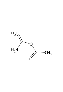 C=C(N)OC(C)=O